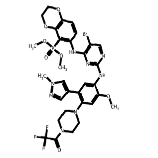 COc1cc(N2CCN(C(=O)C(F)(F)F)CC2)c(-c2cnn(C)c2)cc1Nc1ncc(Br)c(Nc2ccc3c(c2P(=O)(OC)OC)OCCO3)n1